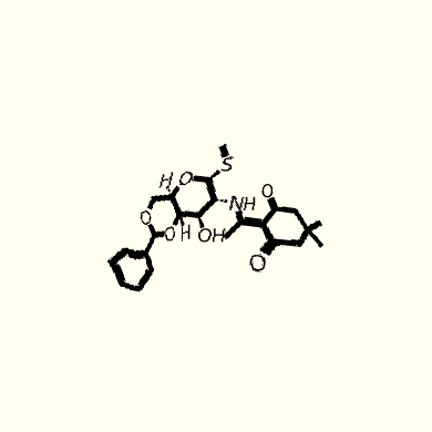 CS[C@@H]1O[C@@H]2COC(c3ccccc3)O[C@H]2[C@H](O)[C@H]1NC(C)=C1C(=O)CC(C)(C)CC1=O